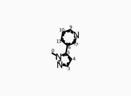 Cn1nccc1-c1[c]nccc1